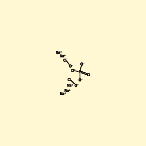 O=P([O-])([O-])[O-].[Na+].[Na+].[Na+].[Na+].[Na+].[O-]Cl.[O-]Cl